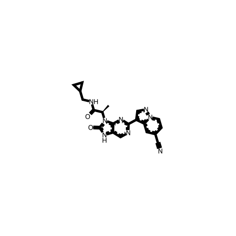 C[C@H](C(=O)NCC1CC1)n1c(=O)[nH]c2cnc(-c3cnn4ccc(C#N)cc34)nc21